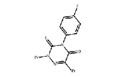 CC(C)c1nn(C(C)C)c(=S)n(-c2ccc(F)cc2)c1=O